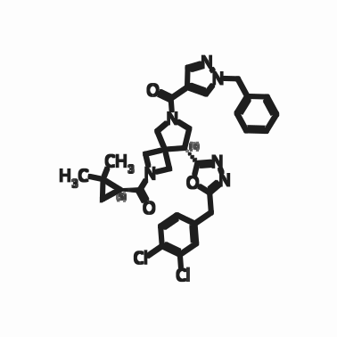 CC1(C)C[C@@H]1C(=O)N1CC2(CN(C(=O)c3cnn(Cc4ccccc4)c3)C[C@@H]2c2nnc(Cc3ccc(Cl)c(Cl)c3)o2)C1